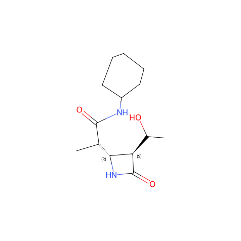 CC(C(=O)NC1CCCCC1)[C@H]1NC(=O)[C@@H]1C(C)O